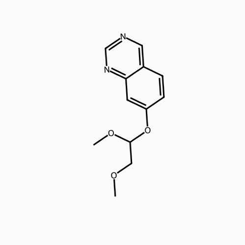 COCC(OC)Oc1ccc2cncnc2c1